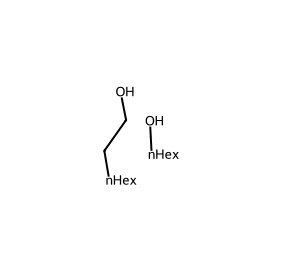 CCCCCCCCO.CCCCCCO